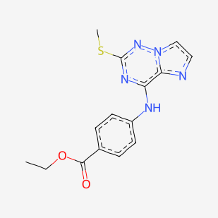 CCOC(=O)c1ccc(Nc2nc(SC)nn3ccnc23)cc1